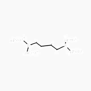 CCCCCB(CCCCC)CCCCB(CCCCC)CCCCC